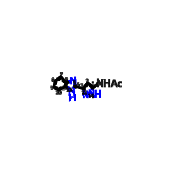 CC(=O)Nc1cc(-c2nc3ccccc3[nH]2)n[nH]1